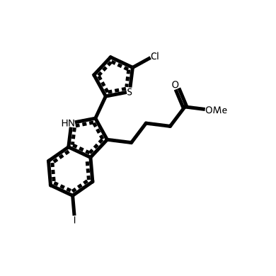 COC(=O)CCCc1c(-c2ccc(Cl)s2)[nH]c2ccc(I)cc12